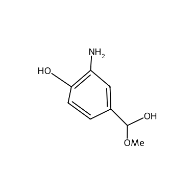 COC(O)c1ccc(O)c(N)c1